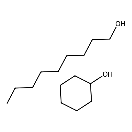 CCCCCCCCCO.OC1CCCCC1